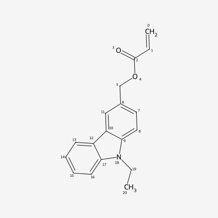 C=CC(=O)OCc1ccc2c(c1)c1ccccc1n2CC